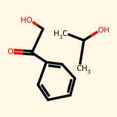 CC(C)O.O=C(CO)c1ccccc1